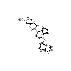 C[C@H]1CC2(CCN(c3ncc(Sc4cccc5ccsc45)c4nccn34)CC2)CO1